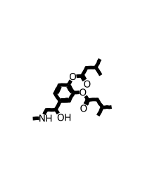 CNCC(O)c1ccc(OC(=O)CC(C)C)c(OC(=O)CC(C)C)c1